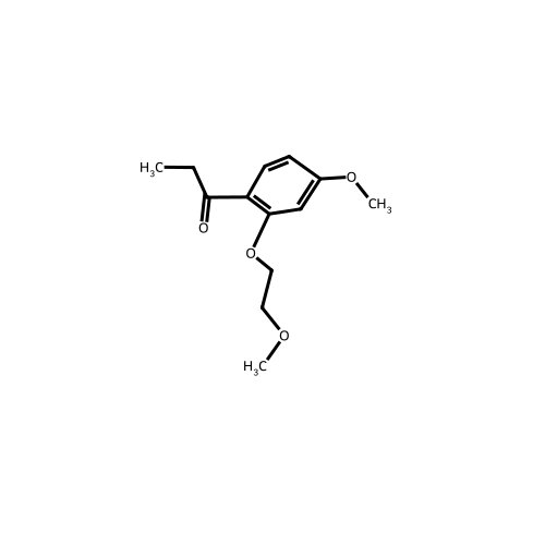 CCC(=O)c1ccc(OC)cc1OCCOC